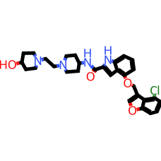 O=C(NC1CCN(CCN2CCC(O)CC2)CC1)c1cc2c(OCc3coc4cccc(Cl)c34)cccc2[nH]1